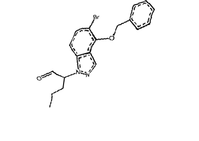 CCCC(C=O)n1ncc2c(OCc3ccccc3)c(Br)ccc21